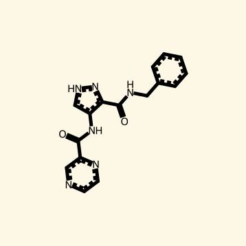 O=C(Nc1c[nH]nc1C(=O)NCc1ccccc1)c1cnccn1